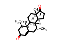 C[C@@H]1CC2=CC(=O)C[C@@H](C)[C@]2(C=O)[C@H]2CC[C@]3(C)C(=O)CC[C@H]3[C@H]12